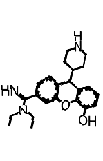 CCN(CC)C(=N)c1ccc2c(c1)Oc1c(O)cccc1C2C1CCNCC1